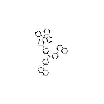 c1ccc(C2(c3ccccc3)c3ccccc3-c3ccc(-c4ccc(N(c5ccc(-c6cccc7ccccc67)cc5)c5cccc(-c6cccc7ccccc67)c5)cc4)cc32)cc1